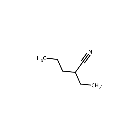 [CH2]CC(C#N)CCC